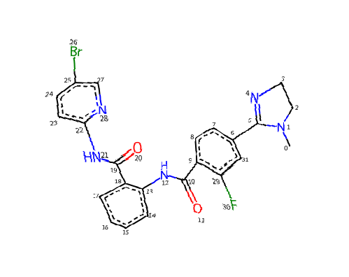 CN1CCN=C1c1ccc(C(=O)Nc2ccccc2C(=O)Nc2ccc(Br)cn2)c(F)c1